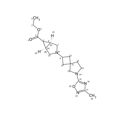 CCOC(=O)C1[C@H]2CN(C3CC4(CCN(c5nc(C)no5)C4)C3)C[C@@H]12